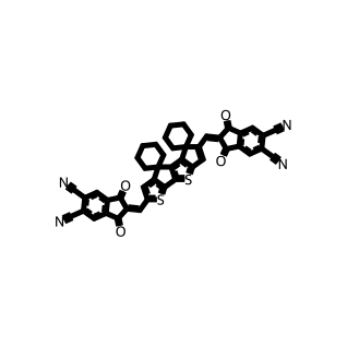 N#Cc1cc2c(cc1C#N)C(=O)C(=CC1=Cc3sc4c(c3C13CCCCC3)C1(CCCCC1)c1cc(C=C3C(=O)c5cc(C#N)c(C#N)cc5C3=O)sc1-4)C2=O